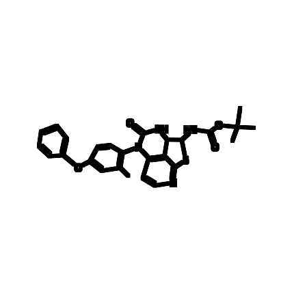 Cc1cc(Oc2ccccc2)ccc1N1C(=O)NC2c3c1ccnc3SC2NC(=O)OC(C)(C)C